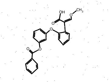 COC=C(C(=O)O)c1ccccc1Oc1cccc(OC(=O)c2ccccc2)c1